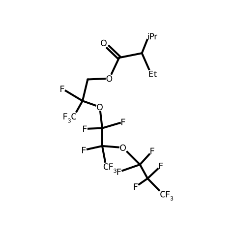 CCC(C(=O)OCC(F)(OC(F)(F)C(F)(OC(F)(F)C(F)(F)C(F)(F)F)C(F)(F)F)C(F)(F)F)C(C)C